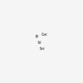 [B].[Ge].[Si].[Sn]